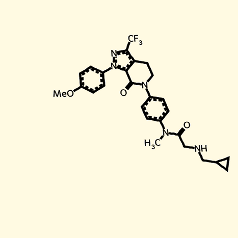 COc1ccc(-n2nc(C(F)(F)F)c3c2C(=O)N(c2ccc(N(C)C(=O)CNCC4CC4)cc2)CC3)cc1